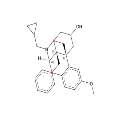 COc1ccc2c(c1)[C@]13CCN(CC4CC4)[C@H](C2)[C@]1(Cc1ccccc1)CCC(O)C3